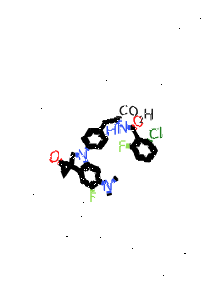 CN(C)c1cc2c(cc1F)C1(CC1=O)CN2c1ccc(CC(NC(=O)c2c(F)cccc2Cl)C(=O)O)cc1